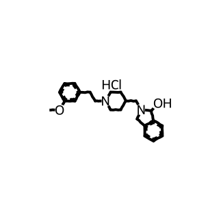 COc1cccc(CCN2CCC(CN3Cc4ccccc4C3O)CC2)c1.Cl